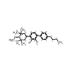 CCCCc1ccc(-c2ccc(C3CC(C)(C)N(OC)C(C)(C)C3)c(F)c2F)cc1